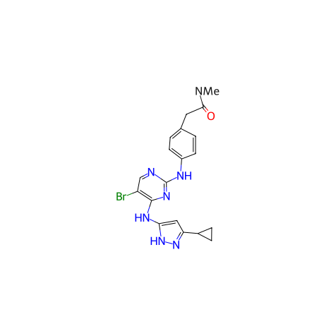 CNC(=O)Cc1ccc(Nc2ncc(Br)c(Nc3cc(C4CC4)n[nH]3)n2)cc1